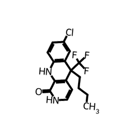 CCCCC1(C(F)(F)F)c2cc(Cl)ccc2Nc2c1cc[nH]c2=O